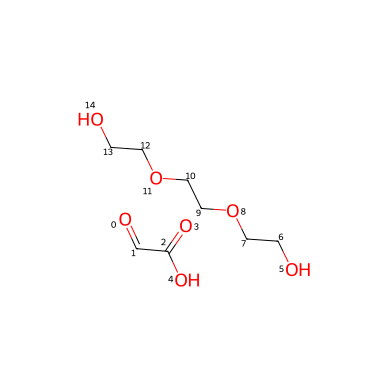 O=CC(=O)O.OCCOCCOCCO